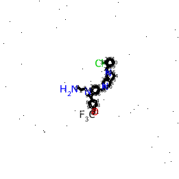 NCCCn1cc(-c2ccc(OC(F)(F)F)cc2)c2cc(CN3CCC4(CCCN(Cc5ccccc5Cl)C4)CC3)ccc21